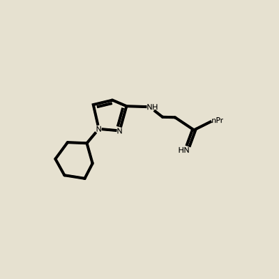 CCCC(=N)CCNc1ccn(C2CCCCC2)n1